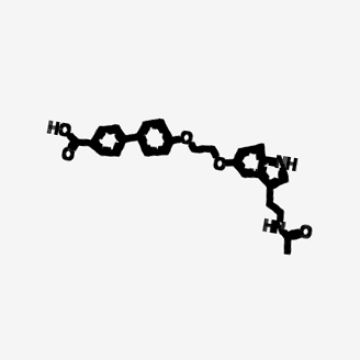 CC(=O)NCCc1c[nH]c2ccc(OCCOc3ccc(-c4ccc(C(=O)O)cc4)cc3)cc12